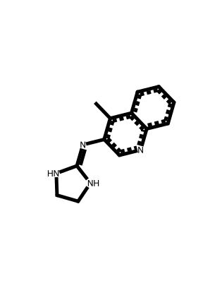 Cc1c(N=C2NCCN2)cnc2ccccc12